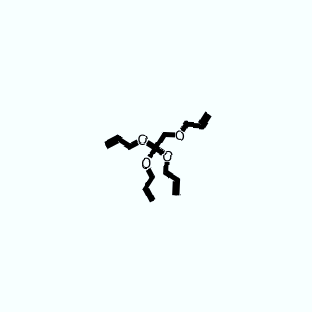 C=CCOCC(OCC=C)(OCC=C)OCC=C